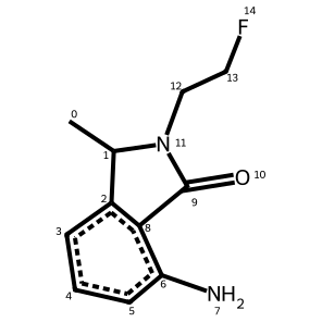 CC1c2cccc(N)c2C(=O)N1CCF